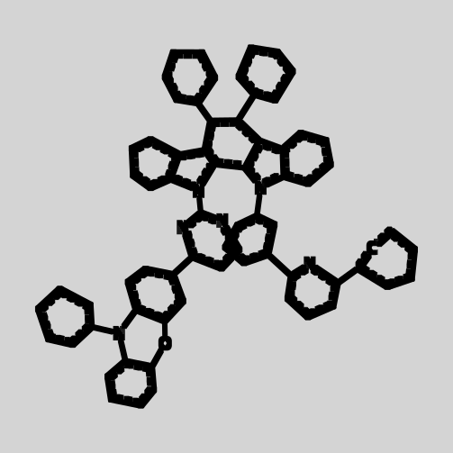 c1ccc(-c2cccc(-c3cccc(-n4c5ccccc5c5c(-c6ccccc6)c(-c6ccccc6)c6c7ccccc7n(-c7nccc(-c8ccc9c(c8)Oc8ccccc8N9c8ccccc8)n7)c6c54)c3)n2)cc1